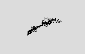 COc1ccc(C(=O)Nc2nc(CCCCCNC(=O)COCc3ccc(F)cc3)cs2)cc1OC